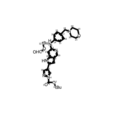 CC(C)(C)OC(=O)n1cc(-c2cc3cnc(Nc4ccc(CN5CCOCC5)cc4)cc3[nH]2)cn1.CC(C)(C)OC=O